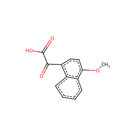 COc1ccc(C(=O)C(=O)O)c2ccccc12